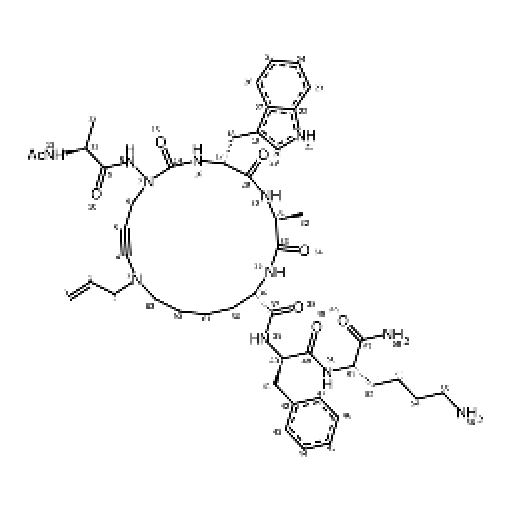 C=CCN1C#CCN(NC(=O)[C@H](C)NC(C)=O)C(=O)N[C@H](Cc2c[nH]c3ccccc23)C(=O)N[C@@H](C)C(=O)N[C@H](C(=O)N[C@H](Cc2ccccc2)C(=O)N[C@@H](CCCCN)C(N)=O)CCCC1